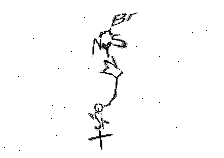 CC(C)(C)[Si](C)(C)OCC1CN(c2ncc(Br)s2)C1